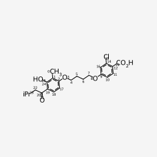 Cc1c(OCCCCOc2ccc(C(=O)O)c(Cl)c2)ccc(C(=O)CC(C)C)c1O